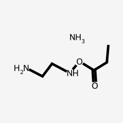 CCC(=O)ONCCN.N